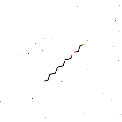 CCSCCOCCCCCCCC(=O)O